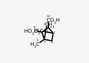 CC1(C)C2CC1(C)C(C(=O)O)C2C(=O)O